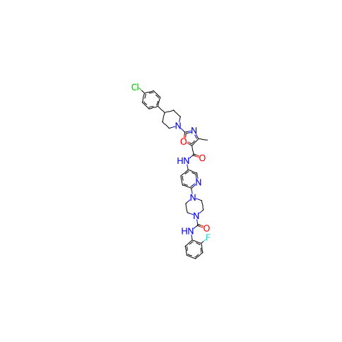 Cc1nc(N2CCC(c3ccc(Cl)cc3)CC2)oc1C(=O)Nc1ccc(N2CCN(C(=O)Nc3ccccc3F)CC2)nc1